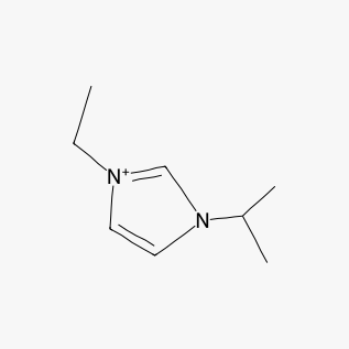 CC[n+]1ccn(C(C)C)c1